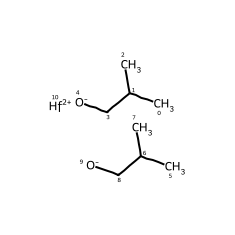 CC(C)C[O-].CC(C)C[O-].[Hf+2]